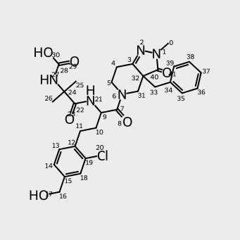 CN1N=C2CCN(C(=O)C(CCc3ccc(CO)cc3Cl)NC(=O)C(C)(C)NC(=O)O)CC2(Cc2ccccc2)C1=O